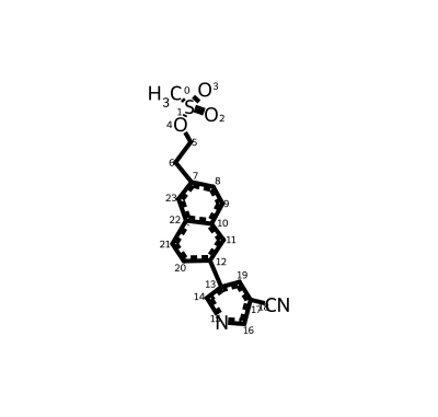 CS(=O)(=O)OCCc1ccc2cc(-c3cncc(C#N)c3)ccc2c1